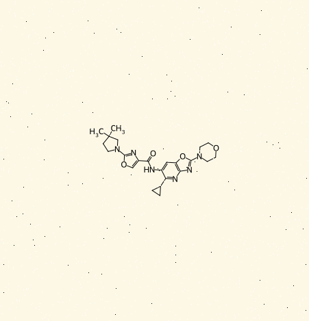 CC1(C)CCN(c2nc(C(=O)Nc3cc4oc(N5CCOCC5)nc4nc3C3CC3)co2)C1